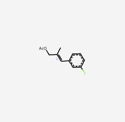 CC(=O)OC/C(C)=C/c1cccc(F)c1